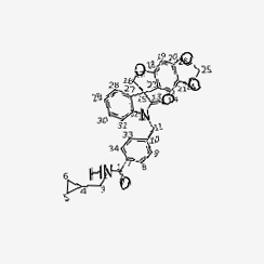 O=C(NCC1CC1)c1ccc(CN2C(=O)C3(COc4cc5c(cc43)OCO5)c3ccccc32)cc1